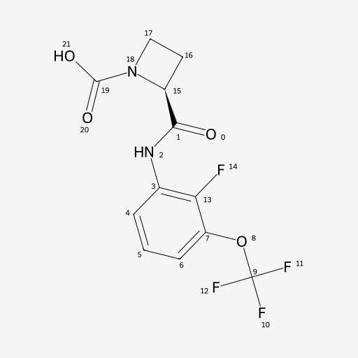 O=C(Nc1cccc(OC(F)(F)F)c1F)[C@@H]1CCN1C(=O)O